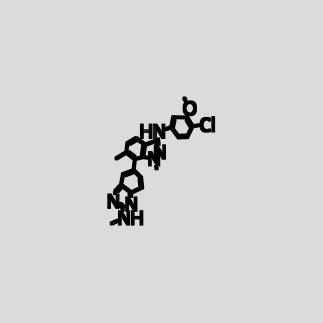 CNc1ncc2cc(-c3c(C)ccc4c(Nc5ccc(Cl)c(OC)c5)nn(C)c34)ccc2n1